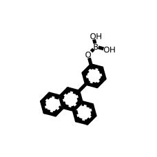 OB(O)Oc1cccc(-c2cc3ccccc3c3ccccc23)c1